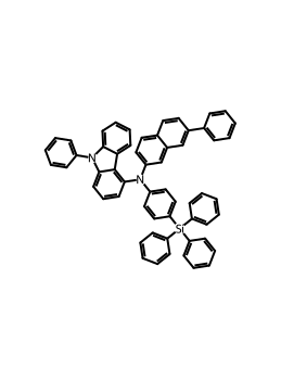 c1ccc(-c2ccc3ccc(N(c4ccc([Si](c5ccccc5)(c5ccccc5)c5ccccc5)cc4)c4cccc5c4c4ccccc4n5-c4ccccc4)cc3c2)cc1